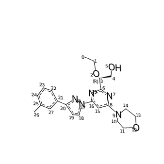 CCO[C@@H](CO)c1nc(N2CCOCC2)cc(-n2ccc(-c3cccc(C)c3)n2)n1